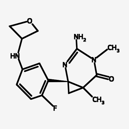 CN1C(=O)C2(C)C[C@]2(c2cc(NC3COC3)ccc2F)N=C1N